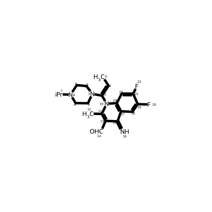 CC=C(N1CCN(C(C)C)CC1)n1c(C)c(C=O)c(=N)c2cc(F)c(F)cc21